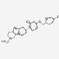 O=C(O)N1CCc2nc3cc(-n4ccc(OCc5ccc(F)cn5)cc4=O)ccn3c2C1